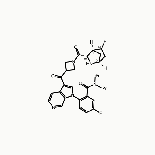 CC(C)N(C(=O)c1cc(F)ccc1-n1cc(C(=O)C2CN(C(=O)[C@H]3N[C@H]4C[C@@H]3[C@@H](F)C4)C2)c2ccncc21)C(C)C